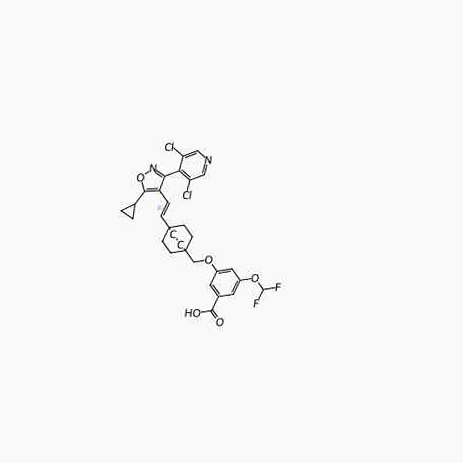 O=C(O)c1cc(OCC23CCC(/C=C/c4c(-c5c(Cl)cncc5Cl)noc4C4CC4)(CC2)CC3)cc(OC(F)F)c1